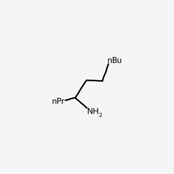 CCCCCCC(N)CCC